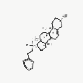 CC(O)(CCc1ncncn1)[C@H]1CC[C@H]2[C@@H]3CC=C4C[C@@H](O)CC[C@]4(C)[C@H]3CC[C@]12C